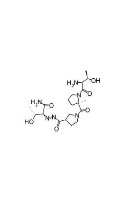 C[C@@H](O)[C@H](N)C(=O)N1CCC[C@]1(C)C(=O)N1CCC(C(=O)N=N[C@H](C(N)=O)[C@@H](C)O)C1